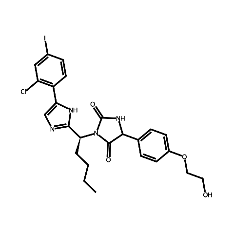 CCCC[C@@H](c1ncc(-c2ccc(I)cc2Cl)[nH]1)N1C(=O)NC(c2ccc(OCCO)cc2)C1=O